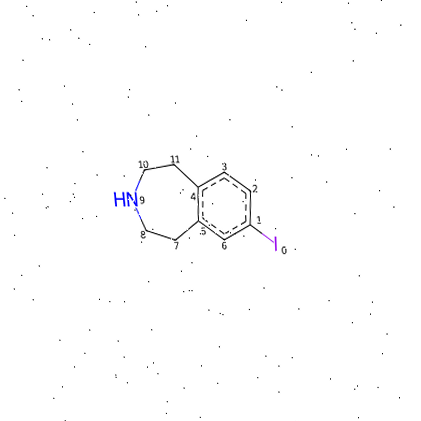 Ic1ccc2c(c1)CCNCC2